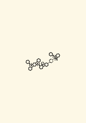 C1=CC(c2nc3ccccc3n2-c2ccccc2)CC=C1c1ccc2c(c1)oc1c(-n3c4ccccc4c4cc5c(cc43)c3ccccc3n5-c3ccccc3)cccc12